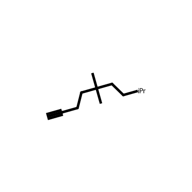 C#CCCC(C)(C)CCC([CH2])C